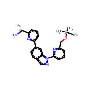 CCC[C@@H](N)c1cccc(-c2ccc3cnn(-c4cccc(CO[Si](C)(C)C(C)(C)C)n4)c3c2)n1